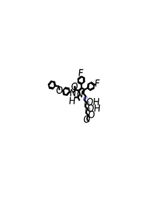 COC(=O)C[C@H](O)C[C@H](O)/C=C/c1c(-c2ccc(F)cc2)c(-c2ccc(F)cc2)c(C(=O)Nc2ccc(OCc3ccccc3)cc2)n1C(C)C